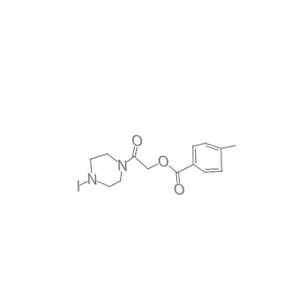 Cc1ccc(C(=O)OCC(=O)N2CCN(I)CC2)cc1